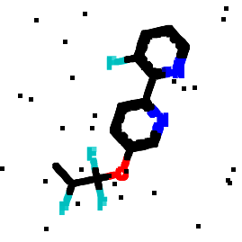 CC(F)C(F)(F)Oc1ccc(-c2ncccc2F)nc1